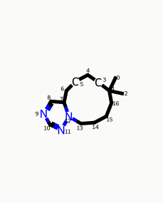 CC1(C)CCCCC2C=NC=NN2CCCC1